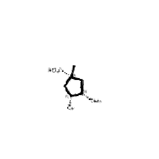 CO[C@H]1C[C@@](C)(C(=O)O)C[C@H]1O